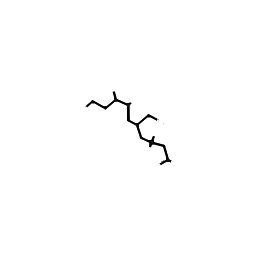 CCCC(I)C(C)CC(CN)CC(C)(C)CC(C)C